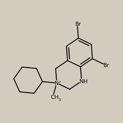 C[N+]1(C2CCCCC2)CNc2c(Br)cc(Br)cc2C1